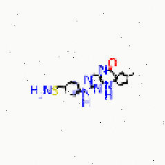 C/C=C(\C=C/C(C)CSN)Nc1ncc2c(n1)Nc1ccc(C)cc1C(=O)N2C